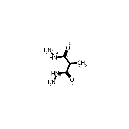 CC(C(=O)NN)C(=O)NN